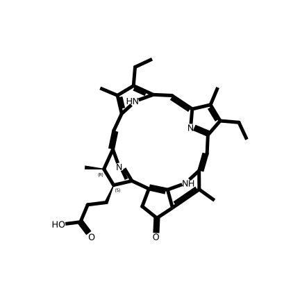 CCC1=C(C)c2cc3[nH]c(cc4nc(c5c6[nH]c(cc1n2)c(C)c6C(=O)C5)[C@@H](CCC(=O)O)[C@H]4C)c(C)c3CC